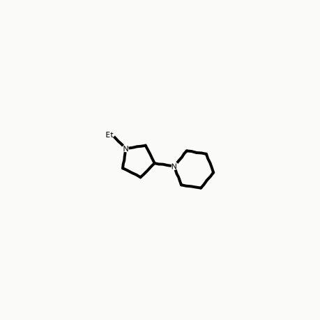 CCN1CCC(N2CCCCC2)C1